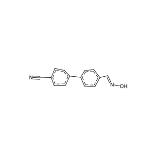 N#Cc1ccc(-c2ccc(C=NO)cc2)cc1